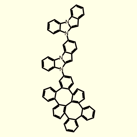 c1ccc2c(c1)cc1n(-c3ccc4cc5n(-c6ccc7c8cccc9c8-c8c(cccc8c8ccccc8c7c6)c6ccccc6c6ccccc96)c6ccccc6n5c4c3)c3ccccc3n21